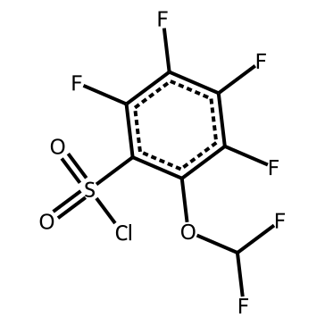 O=S(=O)(Cl)c1c(F)c(F)c(F)c(F)c1OC(F)F